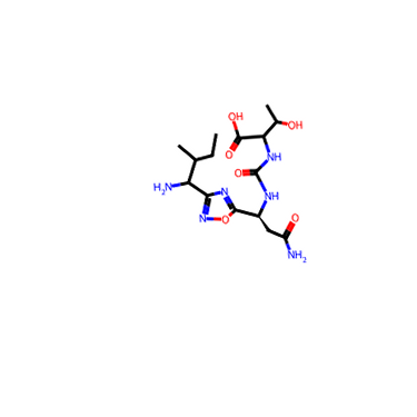 CCC(C)C(N)c1noc([C@H](CC(N)=O)NC(=O)NC(C(=O)O)C(C)O)n1